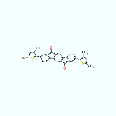 Cc1cc(C)c(-c2ccc3c(c2)c(=O)c2cc4c(cc23)c(=O)c2cc(-c3sc(Br)cc3C)ccc24)s1